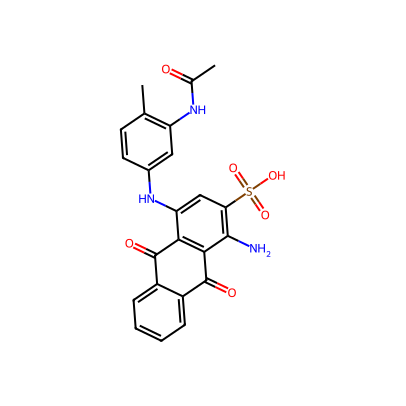 CC(=O)Nc1cc(Nc2cc(S(=O)(=O)O)c(N)c3c2C(=O)c2ccccc2C3=O)ccc1C